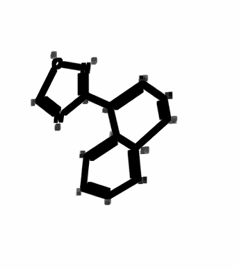 c1ccc2c(-c3ncon3)cccc2c1